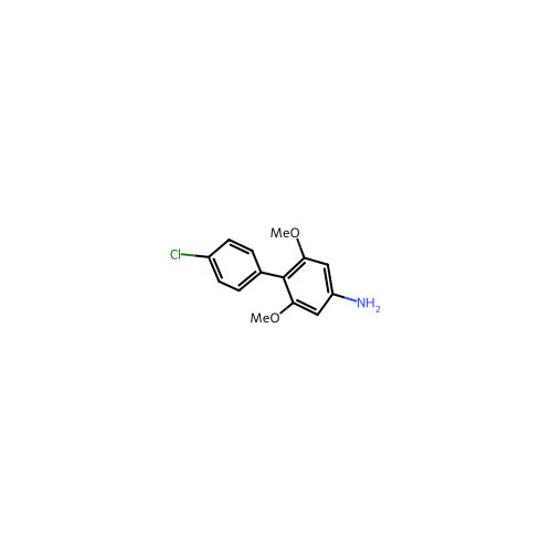 COc1cc(N)cc(OC)c1-c1ccc(Cl)cc1